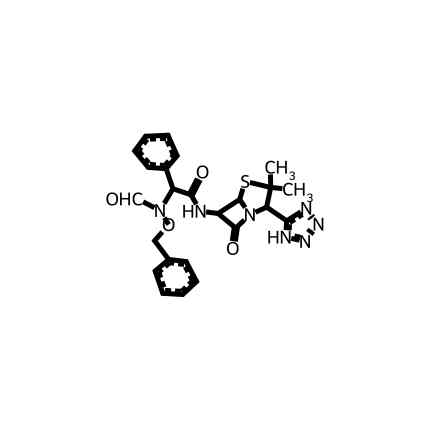 CC1(C)SC2C(NC(=O)C(c3ccccc3)N(C=O)OCc3ccccc3)C(=O)N2C1c1nnn[nH]1